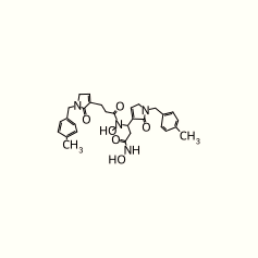 Cc1ccc(CN2CC=C(CCC(=O)N(O)C(CC(=O)NO)C3=CCN(Cc4ccc(C)cc4)C3=O)C2=O)cc1